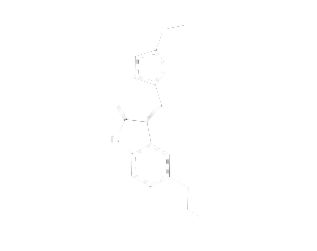 CSc1ccc(C=C2C(=O)Nc3ccc(CCCl)cc32)s1